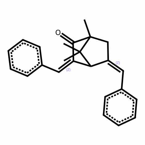 CC12C/C(=C/c3ccccc3)C(/C(=C/c3ccccc3)C1=O)C2(C)C